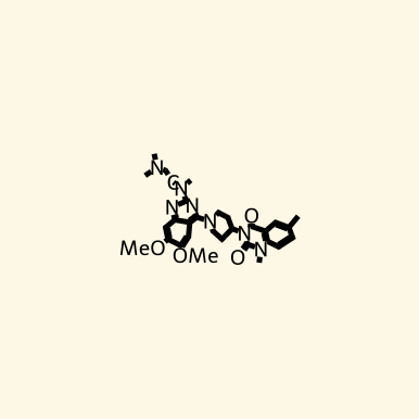 COc1cc2nc(N(C)CCN(C)C)nc(N3CCC(n4c(=O)c5cc(C)ccc5n(C)c4=O)CC3)c2cc1OC